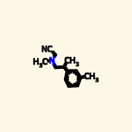 Cc1cccc(C(C)CN(C)CC#N)c1